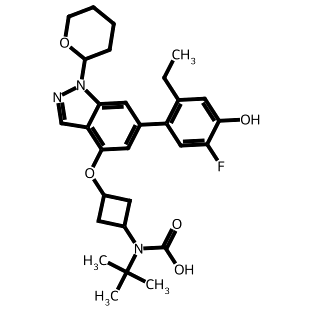 CCc1cc(O)c(F)cc1-c1cc(OC2CC(N(C(=O)O)C(C)(C)C)C2)c2cnn(C3CCCCO3)c2c1